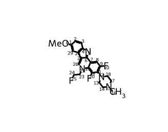 COc1ccc2nc3c4cc(F)c(N5CCN(C)CC5)c(F)c4n(CCF)cc-3c2c1